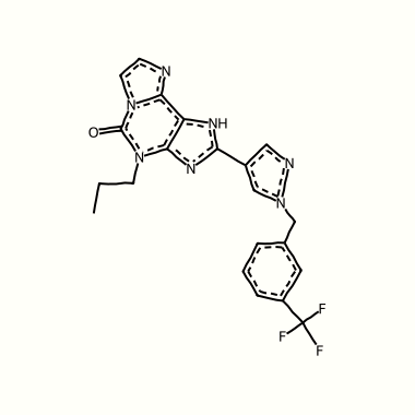 CCCn1c(=O)n2ccnc2c2[nH]c(-c3cnn(Cc4cccc(C(F)(F)F)c4)c3)nc21